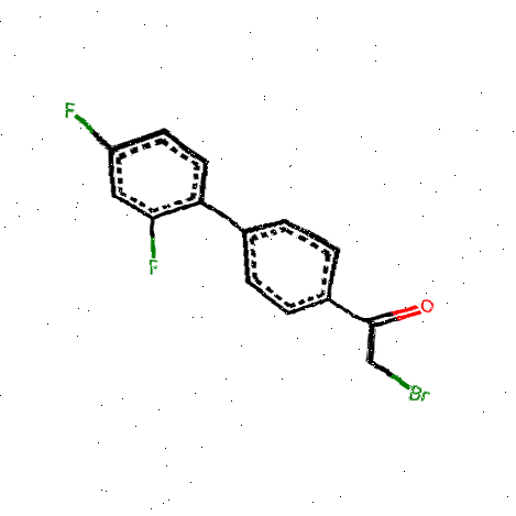 O=C(CBr)c1ccc(-c2ccc(F)cc2F)cc1